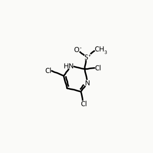 C[S+]([O-])C1(Cl)N=C(Cl)C=C(Cl)N1